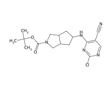 CC(C)(C)OC(=O)N1CC2CC(Nc3nc(Cl)ncc3C#N)CC2C1